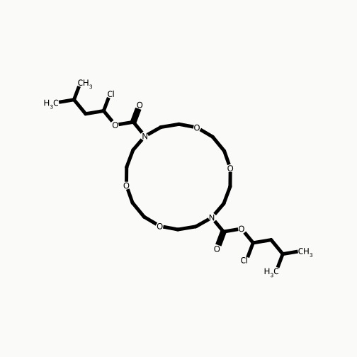 CC(C)CC(Cl)OC(=O)N1CCOCCOCCN(C(=O)OC(Cl)CC(C)C)CCOCCOCC1